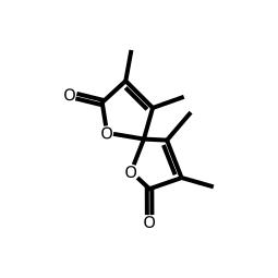 CC1=C(C)C2(OC1=O)OC(=O)C(C)=C2C